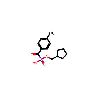 Cc1ccc(C(=O)P(=O)(O)OCC2CCCC2)cc1